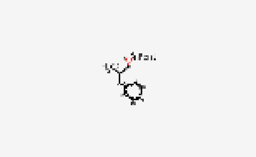 [CH2]C(COCCCCC)Cc1ccccc1